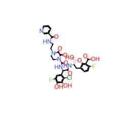 O=C(NCCN1CCN(C(=O)NC(C(=O)N[C@H]2Cc3ccc(F)c(C(=O)O)c3OB2O)c2cc(F)c(O)c(O)c2Cl)C(=O)C1=O)c1cccnc1